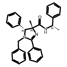 C[C@H](NC(=O)[C@]1(C)N=C(c2ccccc2)N(Cc2ccccc2)[C@@H]1c1ccccc1)c1ccccc1